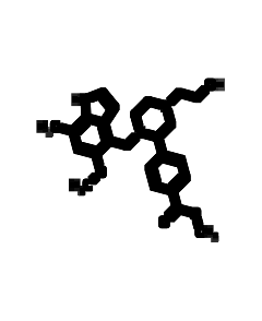 COC(=O)c1ccc(C2CN(CCO)CCN2Cc2c(OC)cc(C)c3[nH]ccc23)cc1